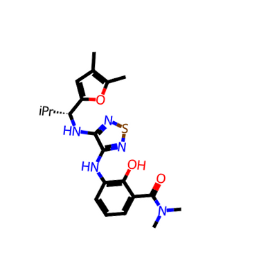 Cc1cc([C@H](Nc2nsnc2Nc2cccc(C(=O)N(C)C)c2O)C(C)C)oc1C